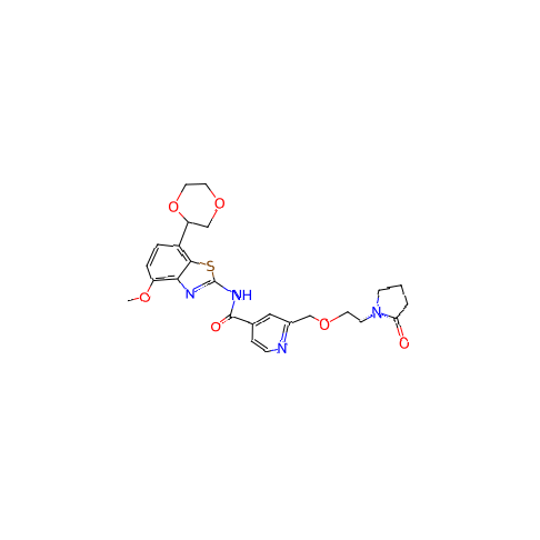 COc1ccc(C2COCCO2)c2sc(NC(=O)c3ccnc(COCCN4CCCC4=O)c3)nc12